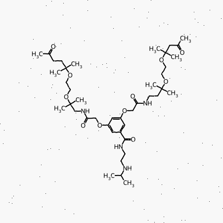 CC(=O)CCC(C)(C)OCCOC(C)(C)CNC(=O)COc1cc(OCC(=O)NCCC(C)(C)OCCOC(C)(C)CC(C)=O)cc(C(=O)NCCNC(C)C)c1